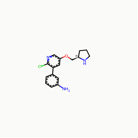 Nc1cccc(-c2cc(OC[C@H]3CCCN3)cnc2Cl)c1